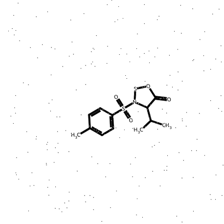 Cc1ccc(S(=O)(=O)N2SOC(=O)C2C(C)C)cc1